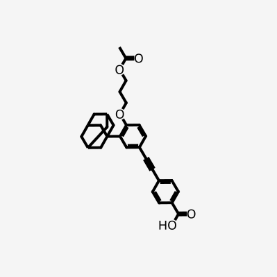 CC(=O)OCCCOc1ccc(C#Cc2ccc(C(=O)O)cc2)cc1C12CC3CC(CC(C3)C1)C2